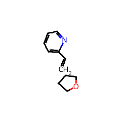 C1CCOC1.C=Cc1ccccn1